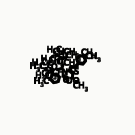 COC(=O)c1sc(C2=CCC(C)(C)CC2)cc1N(C(=O)[C@H]1CC[C@H](C)CC1)C(CO[Si](C(C)C)(C(C)C)C(C)C)CO[Si](C(C)C)(C(C)C)C(C)C